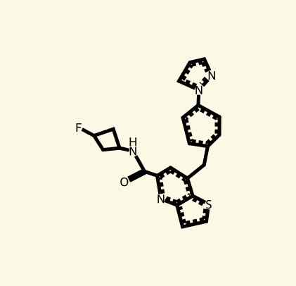 O=C(NC1CC(F)C1)c1cc(Cc2ccc(-n3cccn3)cc2)c2sccc2n1